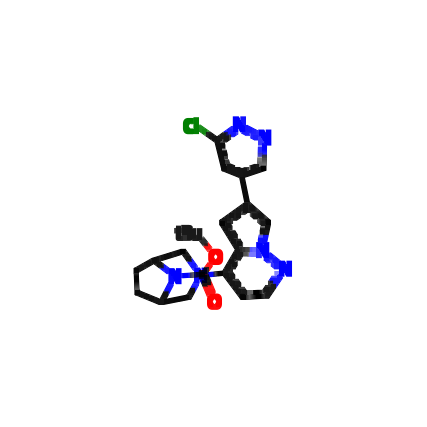 CC(C)(C)OC(=O)N1C2CCC1CN(c1ccnn3cc(-c4cnnc(Cl)c4)cc13)C2